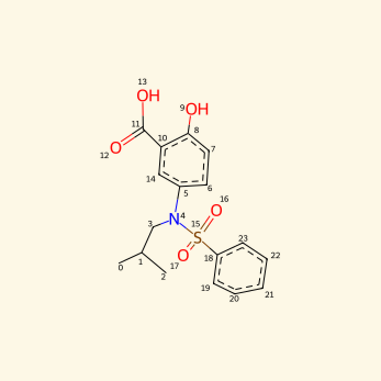 CC(C)CN(c1ccc(O)c(C(=O)O)c1)S(=O)(=O)c1ccccc1